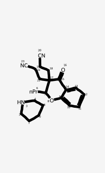 C1CCNCC1.CCCC1Oc2ccccc2C(=O)C1(CCC#N)CCC#N